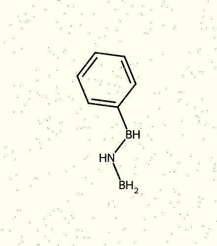 BNBc1ccccc1